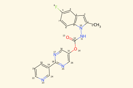 Cc1cc2cc(F)ccc2n1NC(=O)Oc1cnc(-c2cccnc2)nc1